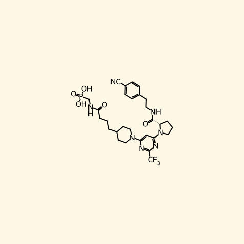 N#Cc1ccc(CCNC(=O)[C@@H]2CCCN2c2cc(N3CCC(CCCC(=O)NCP(=O)(O)O)CC3)nc(C(F)(F)F)n2)cc1